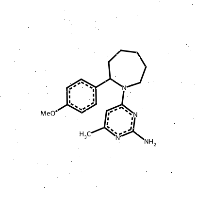 COc1ccc(C2CCCCCN2c2cc(C)nc(N)n2)cc1